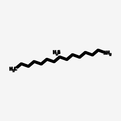 CCCCCCCCCCCCCCN.S